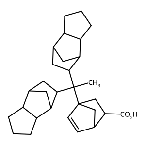 CC(C1CC2CC1C1CCCC21)(C1CC2CC1C1CCCC21)C12C=CC(C1)C(C(=O)O)C2